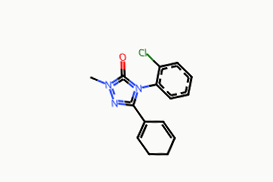 Cn1nc(C2=CCCC=C2)n(-c2ccccc2Cl)c1=O